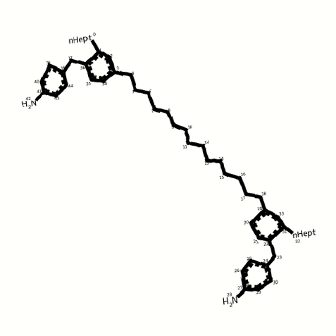 CCCCCCCc1cc(CCCCCCCCCCCCCCCc2ccc(Cc3ccc(N)cc3)c(CCCCCCC)c2)ccc1Cc1ccc(N)cc1